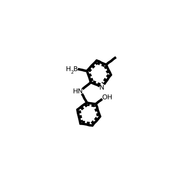 Bc1cc(C)cnc1Nc1ccccc1O